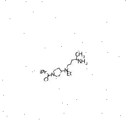 CCN(CCCC(C)N)C1CCN(C(=O)C(C)C)CC1